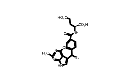 CCC(c1ccc(C(=O)N[C@@H](CCC(=O)O)C(=O)O)cc1)c1c[nH]c2nc(C)nc(O)c12